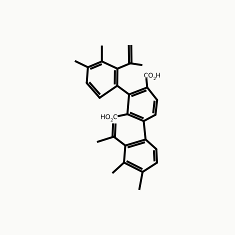 C=C(C)c1c(-c2ccc(C(=O)O)c(-c3ccc(C)c(C)c3C(=C)C)c2C(=O)O)ccc(C)c1C